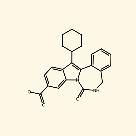 O=C(O)c1ccc2c(C3CCCCC3)c3n(c2c1)C(=O)NCc1ccccc1-3